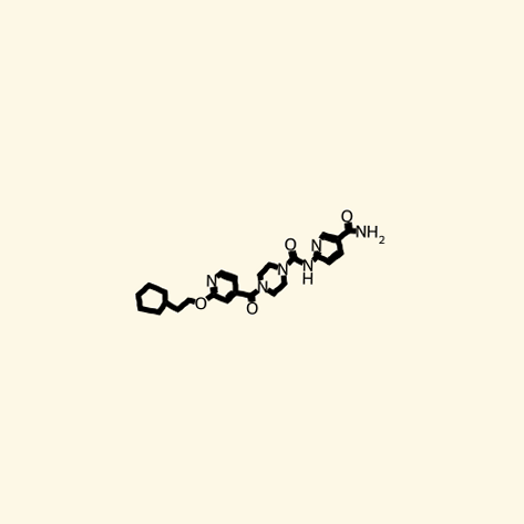 NC(=O)c1ccc(NC(=O)N2CCN(C(=O)c3ccnc(OCCC4CCCCC4)c3)CC2)nc1